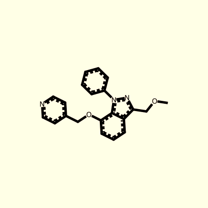 COCc1nn(-c2ccccc2)c2c(OCc3ccncc3)cccc12